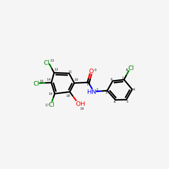 O=C(Nc1cccc(Cl)c1)c1cc(Cl)c(Cl)c(Cl)c1O